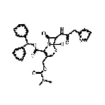 CN(C)C(=O)OCC1=C(C(=O)OC(c2ccccc2)c2ccccc2)N2C(=O)C(NC(=O)Cc3cccs3)[C@@H]2SC1